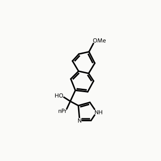 CCCC(O)(c1ccc2cc(OC)ccc2c1)c1c[nH]cn1